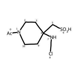 CC(=O)N1CCC(CS(=O)(=O)O)(NCl)CC1